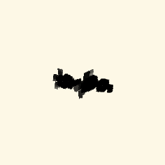 CCc1ccc(-c2cc(F)c(OCc3ccc4c(F)c(F)c(F)cc4c3)c(F)c2)cc1